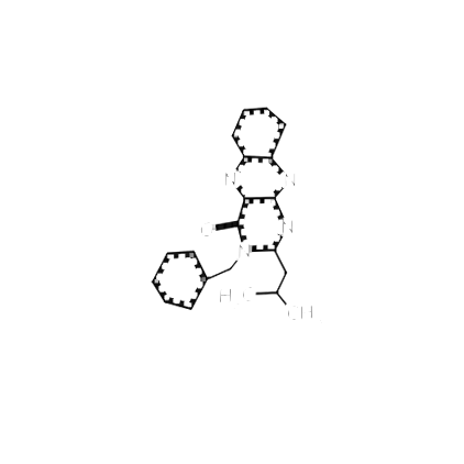 CC(C)Cc1nc2nc3ccccc3nc2c(=O)n1Cc1ccccc1